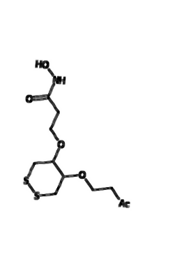 CC(=O)CCOC1CSSCC1OCCC(=O)NO